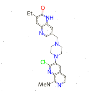 CCc1cc2ncc(CN3CCN(c4cc5ccnc(NC)c5nc4Cl)CC3)cc2[nH]c1=O